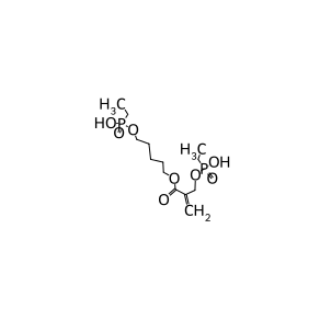 C=C(COP(=O)(O)CC)C(=O)OCCCCCOP(=O)(O)CC